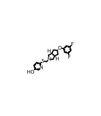 Oc1ccc(SCN2C[C@H]3C[C@@H](Oc4cc(F)cc(F)c4)C[C@H]3C2)nc1